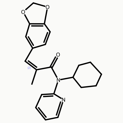 C/C(=C/c1ccc2c(c1)OCO2)C(=O)N(c1ccccn1)C1CCCCC1